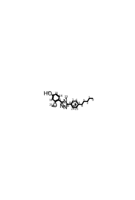 CCCCCC12CCC(c3nnc(-c4ccc(O)cc4OC)n3C)(CC1)CC2